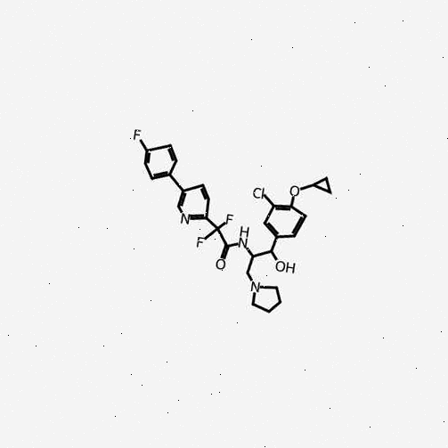 O=C(NC(CN1CCCC1)C(O)c1ccc(OC2CC2)c(Cl)c1)C(F)(F)c1ccc(-c2ccc(F)cc2)cn1